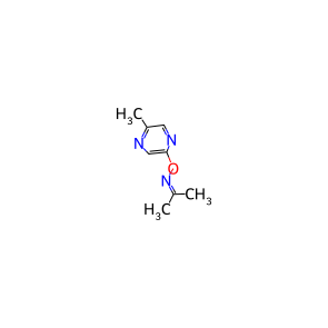 CC(C)=NOc1cnc(C)cn1